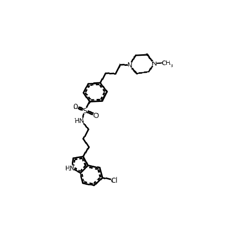 CN1CCN(CCCc2ccc(S(=O)(=O)NCCCc3c[nH]c4ccc(Cl)cc34)cc2)CC1